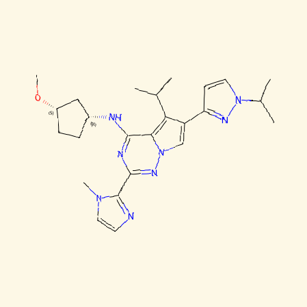 CO[C@H]1CC[C@@H](Nc2nc(-c3nccn3C)nn3cc(-c4ccn(C(C)C)n4)c(C(C)C)c23)C1